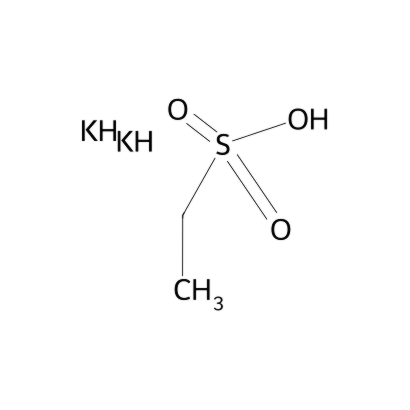 CCS(=O)(=O)O.[KH].[KH]